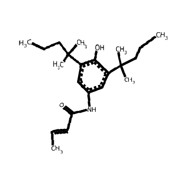 CC=CC(=O)Nc1cc(C(C)(C)CCC)c(O)c(C(C)(C)CCC)c1